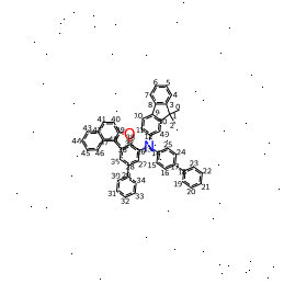 CC1(C)c2ccccc2-c2ccc(N(c3ccc(-c4ccccc4)cc3)c3cc(-c4ccccc4)cc4c3oc3ccc5ccccc5c34)cc21